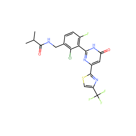 CC(C)C(=O)NCc1ccc(F)c(-c2nc(-c3nc(C(F)(F)F)cs3)cc(=O)[nH]2)c1Cl